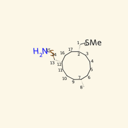 CSC[C@@H]1CCCC[C@H](C)CCC[C@H](CSN)CC1